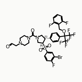 O=CCN1CCN(C(=O)N2C[C@H](c3ccc(C(OCc4c(F)cccc4F)(C(F)(F)F)C(F)(F)F)cc3)[C@@H](S(=O)(=O)c3ccc(F)c(Br)c3)C2)CC1